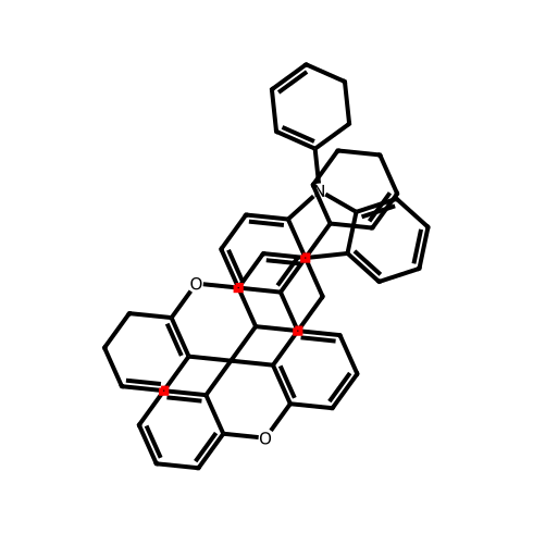 C1=CCCC(n2c3ccccc3c3c(-c4cccc5c4C4(C6=C(CCC=C6)OC6C=C(C7C=CCCC7)CCC64)c4ccccc4O5)cccc32)=C1